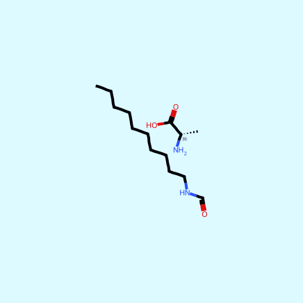 CCCCCCCCCCNC=O.C[C@H](N)C(=O)O